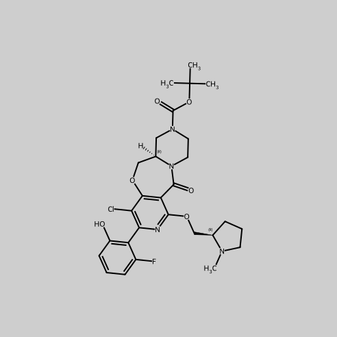 CN1CCC[C@@H]1COc1nc(-c2c(O)cccc2F)c(Cl)c2c1C(=O)N1CCN(C(=O)OC(C)(C)C)C[C@@H]1CO2